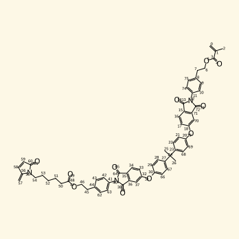 C=C(C)C(=O)OCCc1ccc(N2C(=O)c3ccc(Oc4ccc(C(C)(C)c5ccc(Oc6ccc7c(c6)C(=O)N(c6ccc(CCOC(=O)CCCCCN8C(=C)C=CC8=O)cc6)C7=O)cc5)cc4)cc3C2=O)cc1